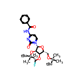 CC(C)(C)[Si](C)(C)OC[C@H]1O[C@@H](n2ccc(NC(=O)c3ccccc3)nc2=O)[C@H](O[Si](C)(C)C(C)(C)C)[C@@H]1OCF